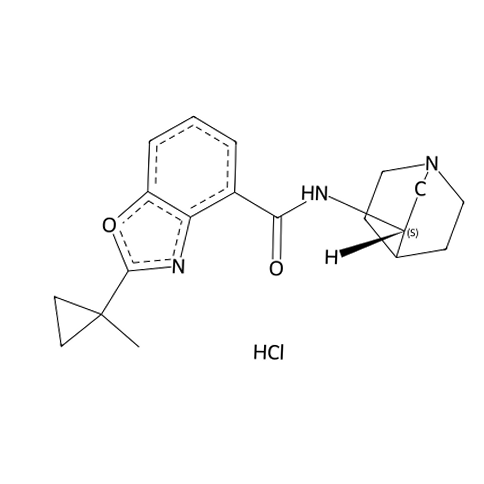 CC1(c2nc3c(C(=O)N[C@@H]4CN5CCC4CC5)cccc3o2)CC1.Cl